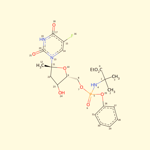 CCOC(=O)C(C)(C)NP(=O)(OC[C@H]1O[C@@](C)(n2cc(F)c(=O)[nH]c2=O)CC1O)Oc1ccccc1